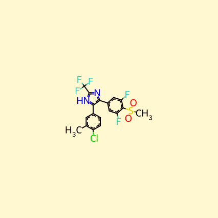 Cc1cc(-c2[nH]c(C(F)(F)F)nc2-c2cc(F)c(S(C)(=O)=O)c(F)c2)ccc1Cl